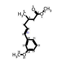 COC(=O)CC(C)C/C=C/c1cccc(OC)c1